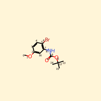 COc1ccc(Br)c(NC(=O)OC(C)(C)C)c1